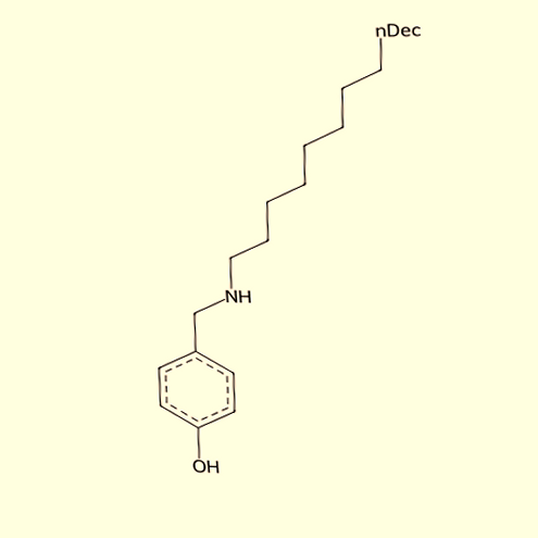 CCCCCCCCCCCCCCCCCCNCc1ccc(O)cc1